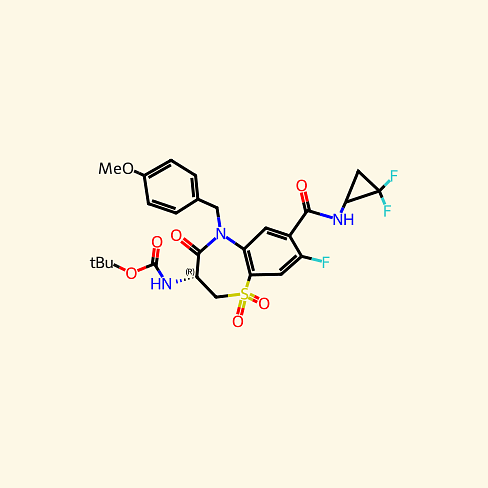 COc1ccc(CN2C(=O)[C@@H](NC(=O)OC(C)(C)C)CS(=O)(=O)c3cc(F)c(C(=O)NC4CC4(F)F)cc32)cc1